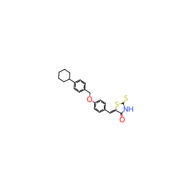 O=C1NC(=S)S/C1=C\c1ccc(OCc2ccc(C3CCCCC3)cc2)cc1